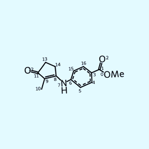 COC(=O)c1ccc(NC2=C(C)C(=O)CC2)cc1